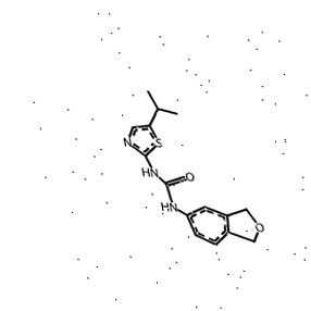 CC(C)c1cnc(NC(=O)Nc2ccc3c(c2)COC3)s1